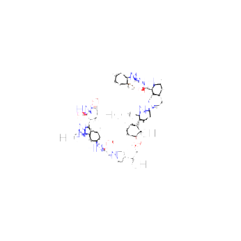 Cc1c(OCCC(C)C2CCN(CC(=O)Nc3ccc4c(C5CCC(=O)NC5=O)nn(C)c4c3)CC2)cccc1-c1ccc(N2CCc3cccc(C(=O)Nc4nc5ccccc5s4)c3C2)nc1C(=O)O